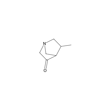 CC1CN2CC(=O)C1C2